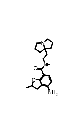 CC1Cc2c(N)ccc(C(=O)NCCC34CCCN3CCC4)c2O1